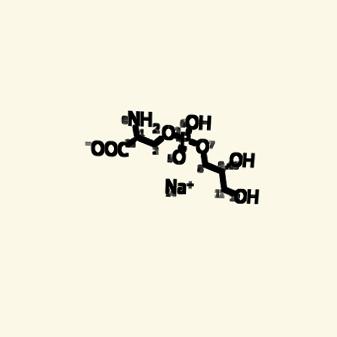 N[C@@H](COP(=O)(O)OC[C@H](O)CO)C(=O)[O-].[Na+]